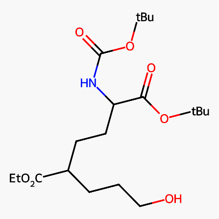 CCOC(=O)C(CCCO)CCC(NC(=O)OC(C)(C)C)C(=O)OC(C)(C)C